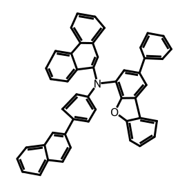 c1ccc(-c2cc(N(c3ccc(-c4ccc5ccccc5c4)cc3)c3cc4ccccc4c4ccccc34)c3oc4ccccc4c3c2)cc1